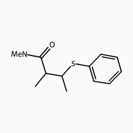 CNC(=O)C(C)C(C)Sc1ccccc1